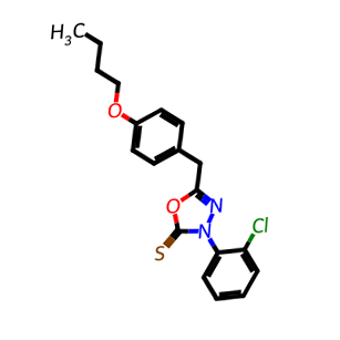 CCCCOc1ccc(Cc2nn(-c3ccccc3Cl)c(=S)o2)cc1